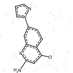 Nc1cc(Cl)c2ccc(-n3cccn3)cc2n1